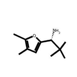 Cc1cc([C@H](N)C(C)(C)C)oc1C